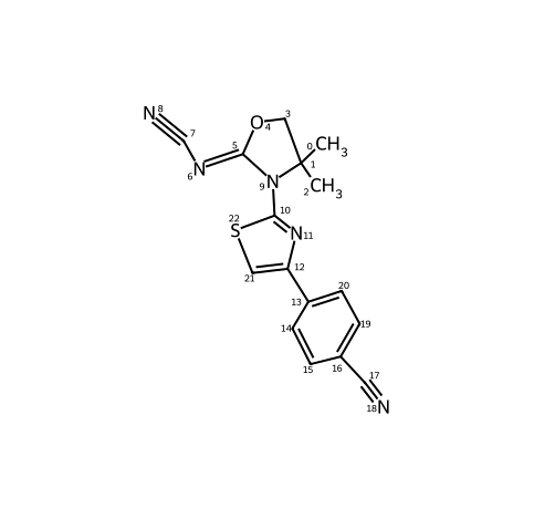 CC1(C)COC(=NC#N)N1c1nc(-c2ccc(C#N)cc2)cs1